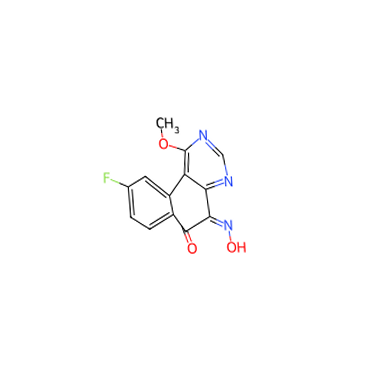 COc1ncnc2c1-c1cc(F)ccc1C(=O)C2=NO